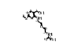 CSc1ncc(CO)c(NCCOCCNC(=O)O)n1